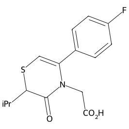 CC(C)C1SC=C(c2ccc(F)cc2)N(CC(=O)O)C1=O